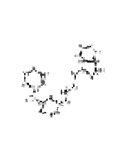 c1cncc(Oc2cccc(CNCCc3c[nH]c4ccccc34)c2)c1